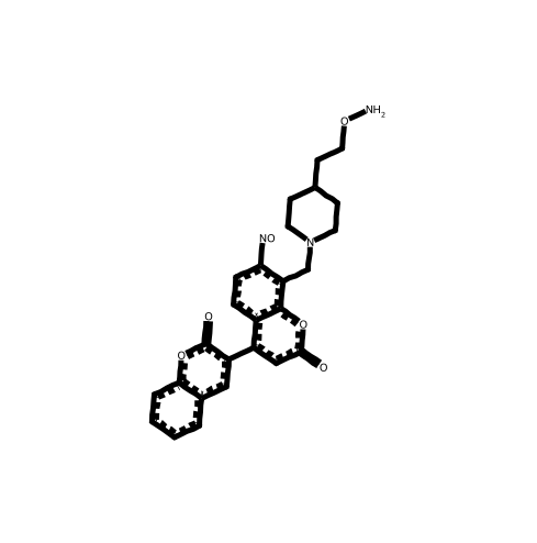 NOCCC1CCN(Cc2c(N=O)ccc3c(-c4cc5ccccc5oc4=O)cc(=O)oc23)CC1